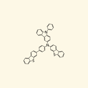 c1ccc(-n2c3ccccc3c3cc(N(c4ccc(-c5ccc6c(c5)sc5ccccc56)cc4)c4ccc5c(c4)sc4ccccc45)ccc32)cc1